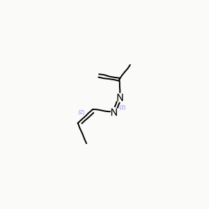 C=C(C)/N=N\C=C/C